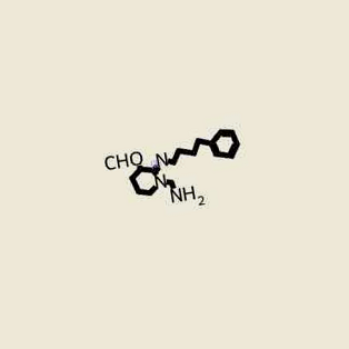 NCN1CCCC(C=O)/C1=N/CCCCc1ccccc1